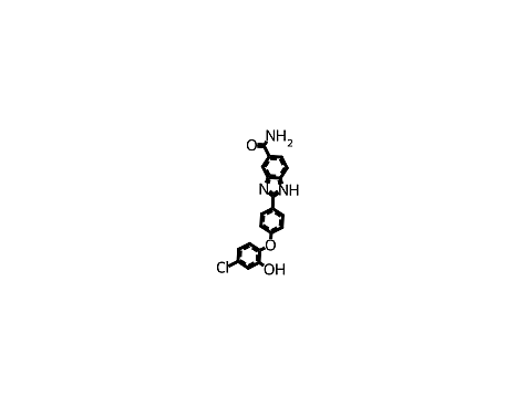 NC(=O)c1ccc2[nH]c(-c3ccc(Oc4ccc(Cl)cc4O)cc3)nc2c1